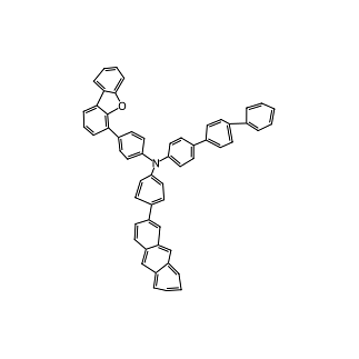 c1ccc(-c2ccc(-c3ccc(N(c4ccc(-c5ccc6cc7ccccc7cc6c5)cc4)c4ccc(-c5cccc6c5oc5ccccc56)cc4)cc3)cc2)cc1